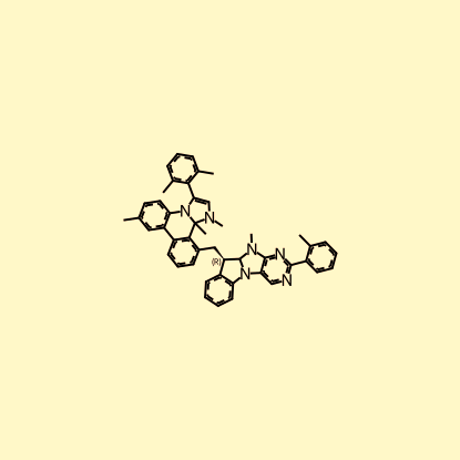 Cc1ccc2c(c1)-c1cccc(C[C@@H]3c4ccccc4N4c5cnc(-c6ccccc6C)nc5N(C)C34)c1C1(C)N(C)C=C(c3c(C)cccc3C)N21